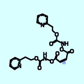 O=C(/C=C\C(=O)ONC(=O)OCCc1ccccn1)ONC(=O)OCCc1ccccn1